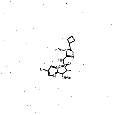 CCCn1c(NS(=O)(=O)[C@@H](C)[C@H](OC)c2ncc(Cl)cn2)nnc1C1CCC1